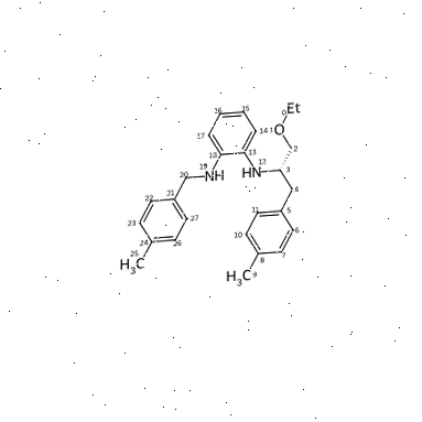 CCOC[C@H](Cc1ccc(C)cc1)Nc1ccccc1NCc1ccc(C)cc1